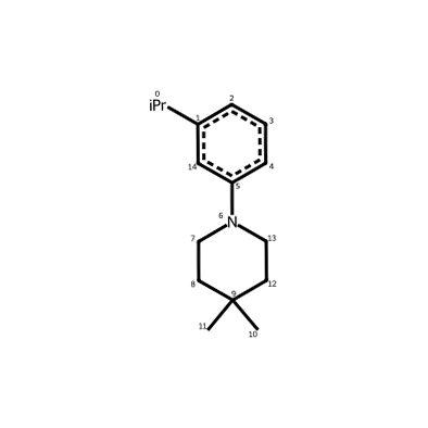 CC(C)c1cccc(N2CCC(C)(C)CC2)c1